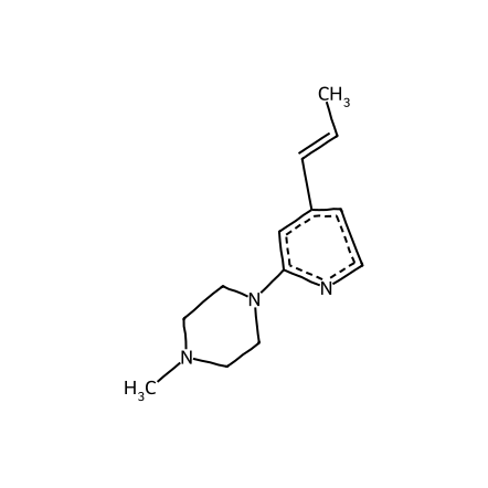 C/C=C/c1ccnc(N2CCN(C)CC2)c1